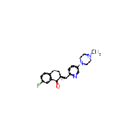 CN1CCN(c2ccc(/C=C3\CCc4ccc(F)cc4C3=O)nc2)CC1